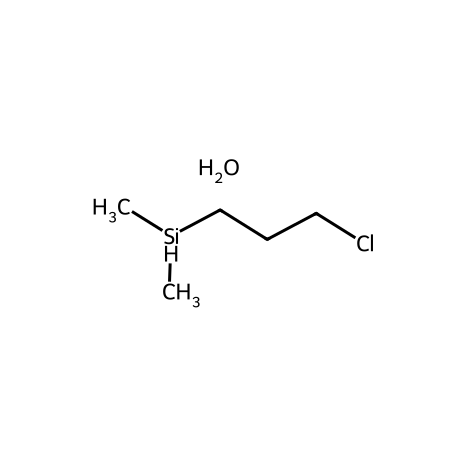 C[SiH](C)CCCCl.O